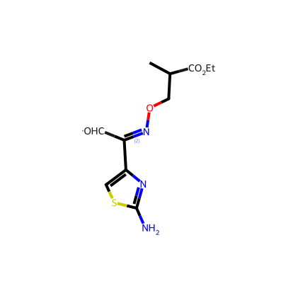 CCOC(=O)C(C)CO/N=C(\[C]=O)c1csc(N)n1